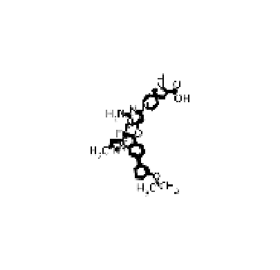 Cc1ccn(-c2cc(-c3cccc(OC(C)C)c3)ccc2C(Oc2cc(N3CCC4(CC3)CNC(C(=O)O)C4)nc(N)n2)C(F)(F)F)n1